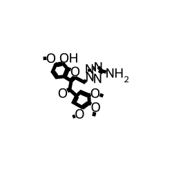 COc1cc(C(=O)c2c(Cn3nnc(N)n3)oc3c(O)c(OC)ccc23)cc(OC)c1OC